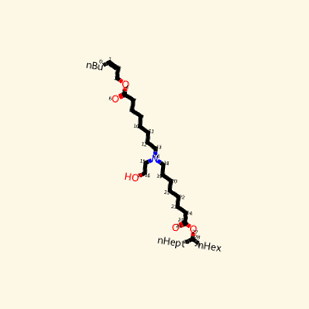 CCCC/C=C\COC(=O)CCCCCCCN(CCO)CCCCCCCC(=O)OC(CCCCCC)CCCCCCC